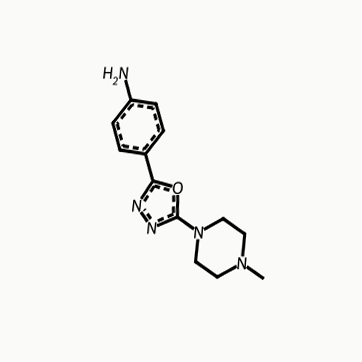 CN1CCN(c2nnc(-c3ccc(N)cc3)o2)CC1